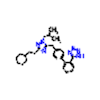 CC(C)Cn1nc(CCC2CCCCC2)nc1Cc1ccc(-c2ccccc2-c2nnn[nH]2)cc1